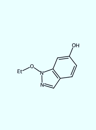 CCOn1ncc2ccc(O)cc21